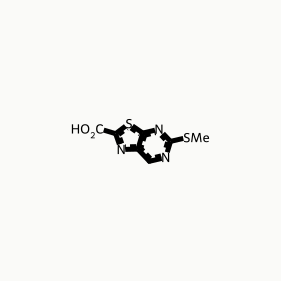 CSc1ncc2nc(C(=O)O)sc2n1